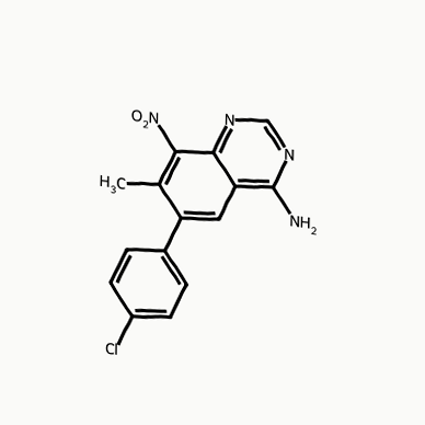 Cc1c(-c2ccc(Cl)cc2)cc2c(N)ncnc2c1[N+](=O)[O-]